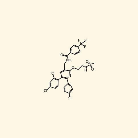 CS(=O)(=O)NCCOc1nc(-c2ccc(Cl)cc2)c(-c2ccc(Cl)cc2Cl)cc1CNC(=O)c1ccc(C(F)(F)F)cc1